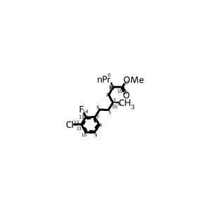 CCC[C@H](C[C@@H](C)CCc1cccc(Cl)c1F)C(=O)OC